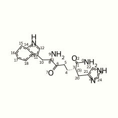 NC(=O)[C@@H](CCC(=O)[C@@H](N)Cc1c[nH]c2ccccc12)Cc1c[nH]cn1